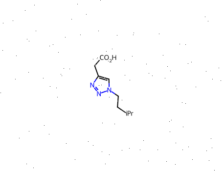 CC(C)CCn1cc(CC(=O)O)nn1